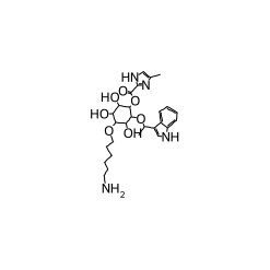 Cc1c[nH]c(C(=O)OC2C(O)C(O)C(OCCCCCCN)C(O)C2OC(C)c2c[nH]c3ccccc23)n1